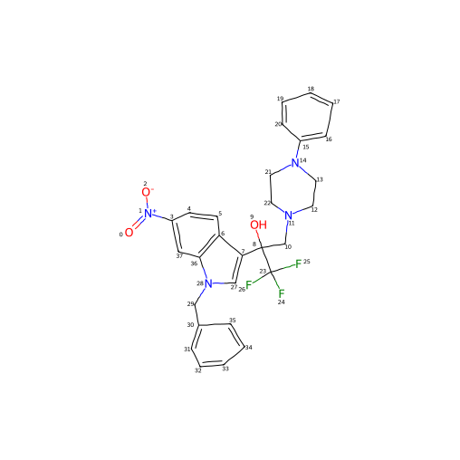 O=[N+]([O-])c1ccc2c(C(O)(CN3CCN(c4ccccc4)CC3)C(F)(F)F)cn(Cc3ccccc3)c2c1